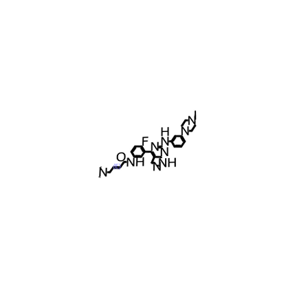 CN(C)C/C=C/C(=O)Nc1ccc(F)c(-c2nc(Nc3cccc(N4CCN(I)CC4)c3)nc3[nH]ncc23)c1